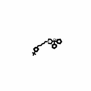 CC(C)(C)c1ccc(CCCCCN2CCC(C(O)(c3ccccc3)c3ccccc3)CC2)cc1